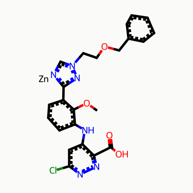 COc1c(Nc2cc(Cl)nnc2C(=O)O)cccc1-c1ncn(CCOCc2ccccc2)n1.[Zn]